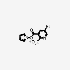 CCc1cnc(C(=O)O)c(C(=O)On2cccc2)c1